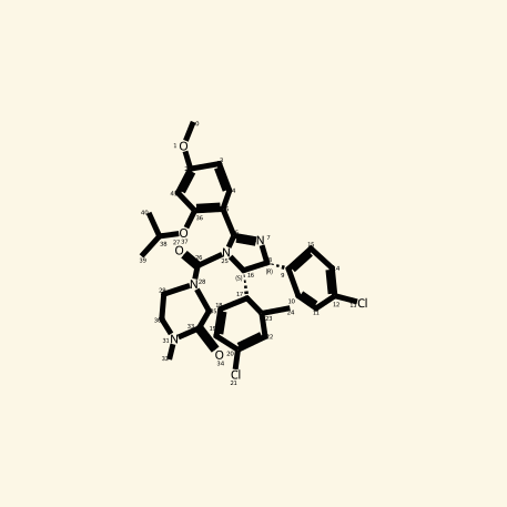 COc1ccc(C2=N[C@H](c3ccc(Cl)cc3)[C@H](C3C=CC(Cl)=CC3C)N2C(=O)N2CCN(C)C(=O)C2)c(OC(C)C)c1